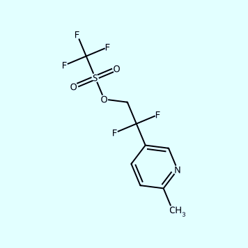 Cc1ccc(C(F)(F)COS(=O)(=O)C(F)(F)F)cn1